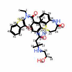 CCN(C(=O)c1ccc(C(=O)CC(C)(C)NC[C@@H](C)O)c(S2(N)CCC(=O)Nc3ccccc32)c1C)c1sc2ccccc2c1Br